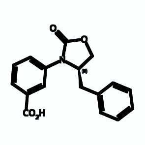 O=C(O)c1cccc(N2C(=O)OC[C@H]2Cc2ccccc2)c1